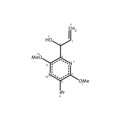 C=CC(O)c1nc(OC)c(C(C)C)nc1OC